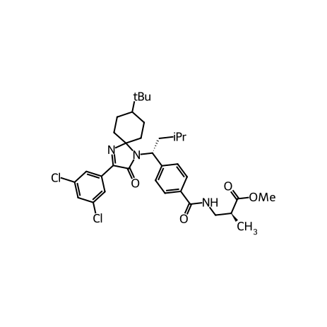 COC(=O)[C@@H](C)CNC(=O)c1ccc([C@@H](CC(C)C)N2C(=O)C(c3cc(Cl)cc(Cl)c3)=NC23CCC(C(C)(C)C)CC3)cc1